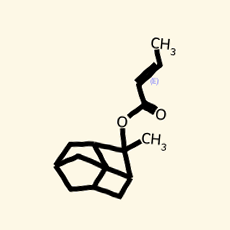 C/C=C/C(=O)OC1(C)C2CC3CC(C2)CC1C3